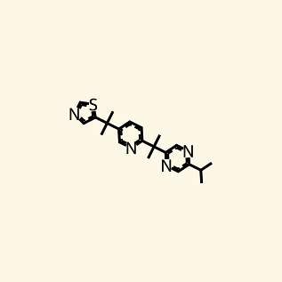 CC(C)c1cnc(C(C)(C)c2ccc(C(C)(C)c3cncs3)cn2)cn1